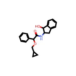 O=C(NC1Cc2ccccc2C1O)C(OCC1CC1)c1ccccc1